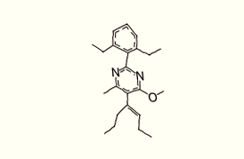 CCC=C(CCC)c1c(C)nc(-c2c(CC)cccc2CC)nc1OC